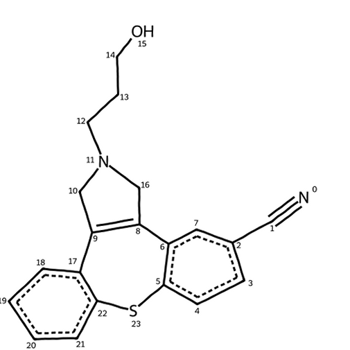 N#Cc1ccc2c(c1)C1=C(CN(CCCO)C1)c1ccccc1S2